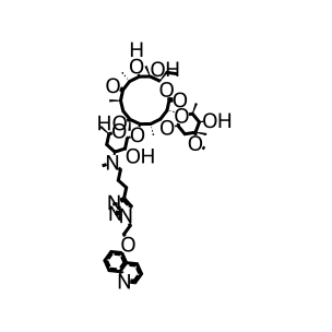 CC[C@H]1OC(=O)[C@H](C)[C@@H](O[C@H]2C[C@@](C)(OC)[C@@H](O)[C@H](C)O2)[C@H](C)[C@@H](O[C@@H]2O[C@H](C)C[C@H](N(C)CCCc3cn(CCOc4cccc5ncccc45)nn3)[C@H]2O)[C@](C)(O)C[C@@H](C)C(=O)[C@H](C)[C@@H](O)[C@]1(C)O